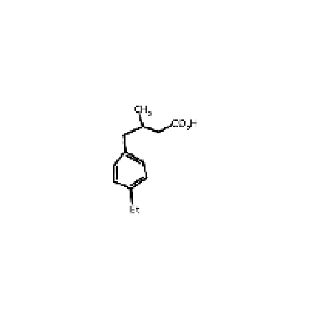 CCc1ccc(CC(C)CC(=O)O)cc1